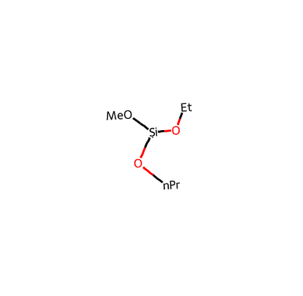 CCCO[Si](OC)OCC